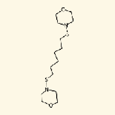 C(CCCSN1CCOCC1)CCSN1CCOCC1